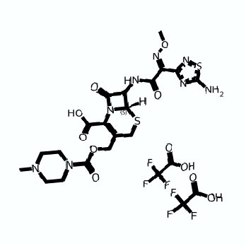 CON=C(C(=O)NC1C(=O)N2C(C(=O)O)=C(COC(=O)N3CCN(C)CC3)CS[C@@H]12)c1nsc(N)n1.O=C(O)C(F)(F)F.O=C(O)C(F)(F)F